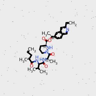 C=CC[C@@H](C)C(=O)NC(C(=O)N[C@@H](C)C(=O)N1CCC[C@@H](C(=O)O[C@H](C)c2ccc3cnc(C=C)cc3c2)N1)C(C)C